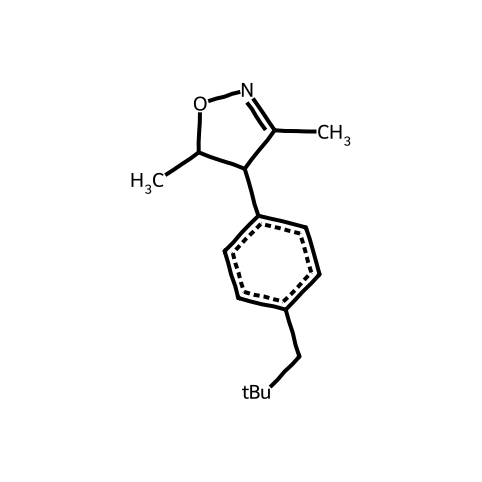 CC1=NOC(C)C1c1ccc(CC(C)(C)C)cc1